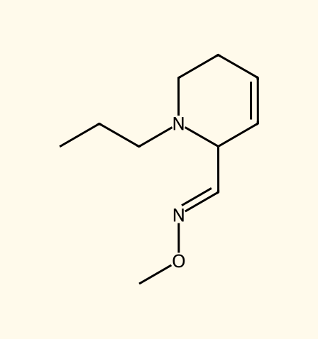 CCCN1CCC=CC1/C=N/OC